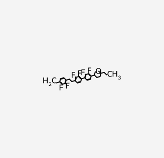 C=Cc1ccc(CCc2ccc(-c3ccc(C4CCC(CCC)OC4)c(F)c3F)c(F)c2F)c(F)c1F